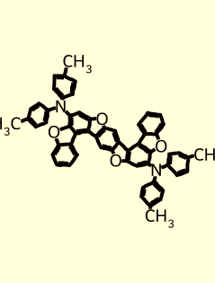 Cc1ccc(N(c2ccc(C)cc2)c2cc3oc4cc5c(cc4c3c3c2oc2ccccc23)oc2cc(N(c3ccc(C)cc3)c3ccc(C)cc3)c3oc4ccccc4c3c25)cc1